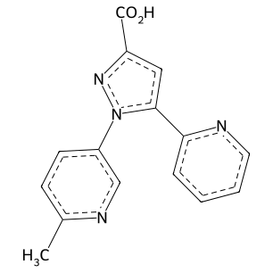 Cc1ccc(-n2nc(C(=O)O)cc2-c2ccccn2)cn1